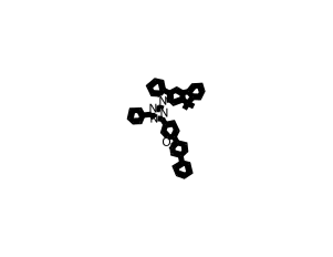 CC1(C)c2ccccc2-c2cc3c4ccccc4n(-c4nc(-c5ccccc5)nc(-c5ccc6c(c5)oc5cc(-c7ccccc7)ccc56)n4)c3cc21